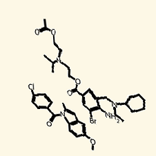 CCN(Cc1cc(C(=O)OCCN(CCOC(C)=O)C(C)C)cc(Br)c1N)C1CCCCC1.COc1ccc2c(c1)cc(C)n2C(=O)c1ccc(Cl)cc1